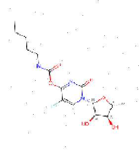 CCCCCNC(=O)Oc1nc(=O)n([C@@H]2O[C@H](C)[C@@H](O)[C@H]2O)cc1F